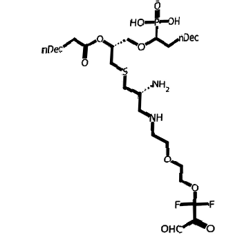 CCCCCCCCCCCC(=O)O[C@H](COC(CCCCCCCCCCC)P(=O)(O)O)CSC[C@H](N)CNCCOCCOC(F)(F)C(=O)C=O